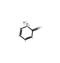 O=c1cccc[nH]1.[H+]